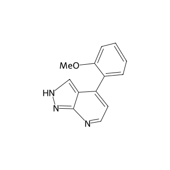 COc1ccccc1-c1ccnc2n[nH]cc12